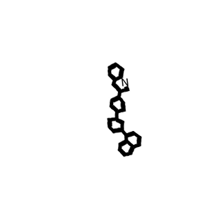 c1cc(-c2ccc(-c3cnc4ccccc4c3)cc2)cc(-c2cccc3ccccc23)c1